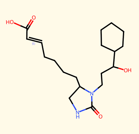 O=C(O)/C=C/CCCCC1CNC(=O)N1CCC(O)C1CCCCC1